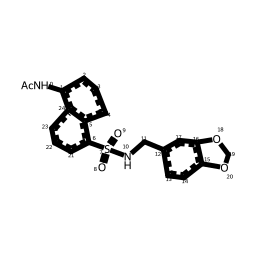 CC(=O)Nc1cccc2c(S(=O)(=O)NCc3ccc4c(c3)OCO4)cccc12